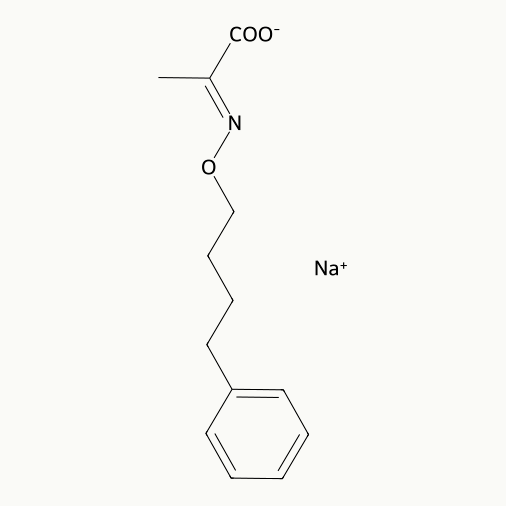 CC(=NOCCCCc1ccccc1)C(=O)[O-].[Na+]